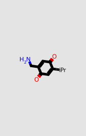 CC(C)C1=CC(=O)C(CN)=CC1=O